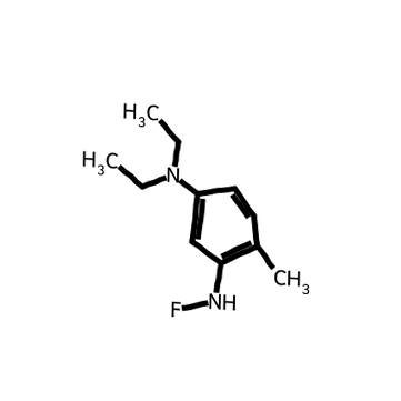 CCN(CC)c1ccc(C)c(NF)c1